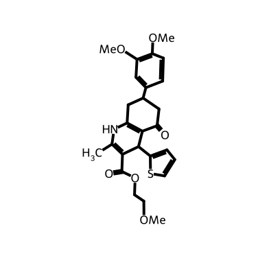 COCCOC(=O)C1=C(C)NC2=C(C(=O)CC(c3ccc(OC)c(OC)c3)C2)C1c1cccs1